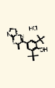 CC1SC2=NCCN2N=C1c1cc(C(C)(C)C)c(O)c(C(C)(C)C)c1.Cl